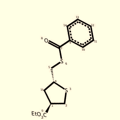 CCOC(=O)[C@@H]1CS[C@@H](CSC(=O)c2ccccc2)C1